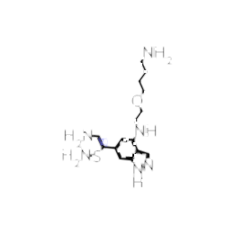 N/C=C(\SN)c1cc(NCCOCCCCN)c2cn[nH]c2c1